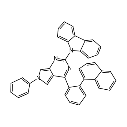 c1ccc(-n2cc3nc(-n4c5ccccc5c5ccccc54)nc(-c4ccccc4-c4cccc5ccccc45)c3c2)cc1